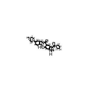 CN1CCN(c2ccc3c(c2)CN(C(=O)c2cc4c(C(=O)N5CCCC5)n[nH]c4cc2O)C3)CC1